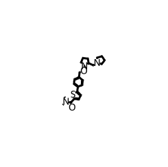 CN(C)C(=O)c1ccc(-c2ccc(CON3CCCC3CN3CCCC3)cc2)s1